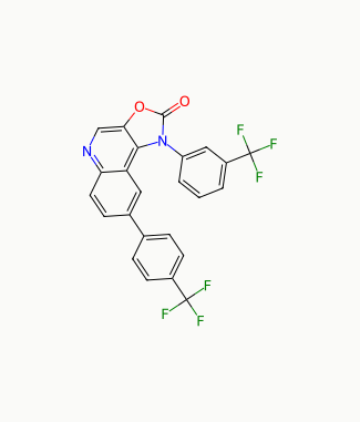 O=c1oc2cnc3ccc(-c4ccc(C(F)(F)F)cc4)cc3c2n1-c1cccc(C(F)(F)F)c1